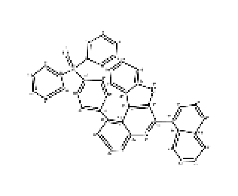 O=P(c1ccccc1)(c1ccccc1)c1ccc(-c2cccc3nc(-c4cccc5ccccc45)c4oc5ccccc5c4c23)cc1